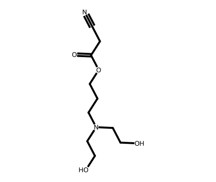 N#CCC(=O)OCCCN(CCO)CCO